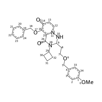 COc1ccc(COCCC2Nn3ccc(=O)c(OCc4ccccc4)c3C(=O)N2C2CCC2)cc1